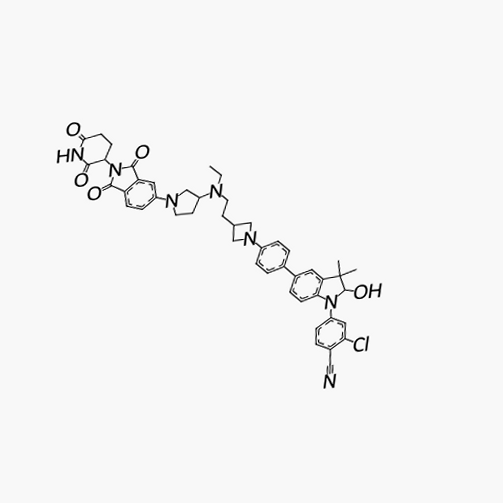 CCN(CCC1CN(c2ccc(-c3ccc4c(c3)C(C)(C)C(O)N4c3ccc(C#N)c(Cl)c3)cc2)C1)C1CCN(c2ccc3c(c2)C(=O)N(C2CCC(=O)NC2=O)C3=O)C1